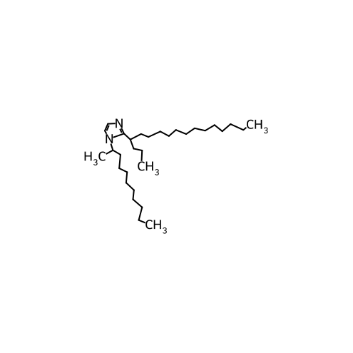 CCCCCCCCCCCCCC(CCC)c1nccn1C(C)CCCCCCCCC